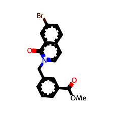 COC(=O)c1cccc(Cn2ccc3ccc(Br)cc3c2=O)c1